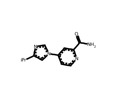 CC(C)c1cn(-c2ccnc(C(N)=O)c2)cn1